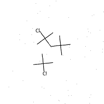 CC(C)(C)CC(C)(C)Cl.CC(C)(C)Cl